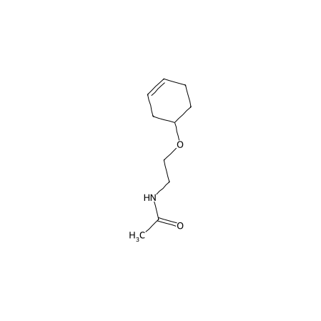 CC(=O)NCCOC1CC=CCC1